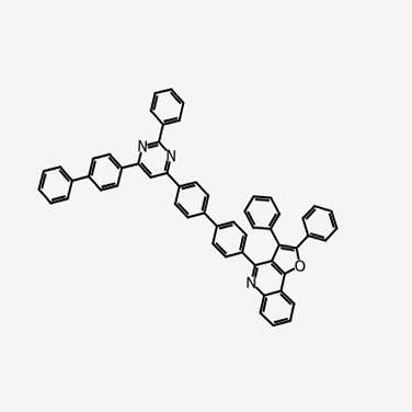 c1ccc(-c2ccc(-c3cc(-c4ccc(-c5ccc(-c6nc7ccccc7c7oc(-c8ccccc8)c(-c8ccccc8)c67)cc5)cc4)nc(-c4ccccc4)n3)cc2)cc1